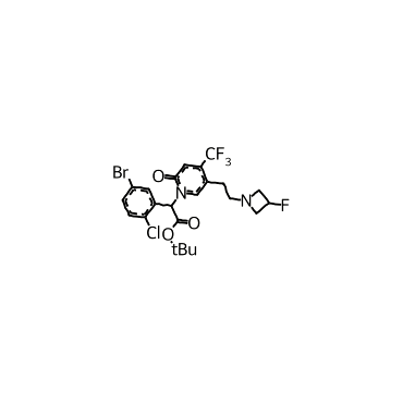 CC(C)(C)OC(=O)C(c1cc(Br)ccc1Cl)n1cc(CCN2CC(F)C2)c(C(F)(F)F)cc1=O